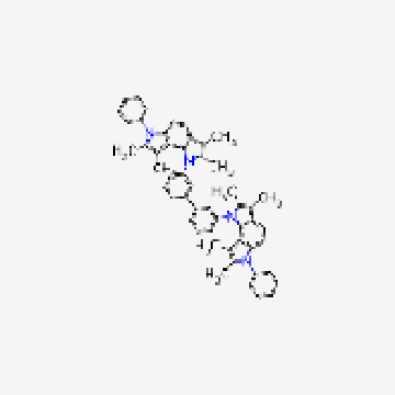 Cc1c(C)n(-c2cccc(-c3cccc(-n4c(C)c(C)c5ccc6c(c(C)c(C)n6-c6ccccc6)c54)c3)c2)c2c1ccc1c2c(C)c(C)n1-c1ccccc1